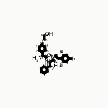 C[C@@H](c1ccccc1)[C@H](NC(=O)C(N)c1ccc(OCCO)cc1)c1ncc(-c2c(F)cc(I)cc2F)[nH]1